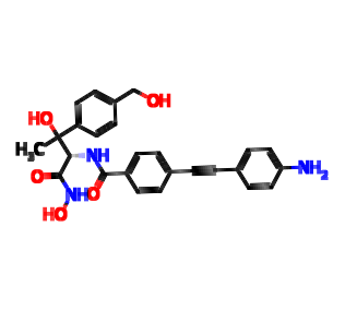 CC(O)(c1ccc(CO)cc1)[C@H](NC(=O)c1ccc(C#Cc2ccc(N)cc2)cc1)C(=O)NO